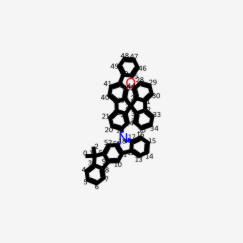 CC1(C)c2ccccc2-c2cc3c4ccccc4n(-c4ccc5c(c4)C4(c6ccccc6-c6ccccc64)c4c-5ccc5c4oc4ccccc45)c3cc21